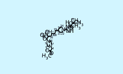 COC(=O)CN1CCN(C2OC(=O)N(C)C2CCCCC2CCN(C(=N)NC(=O)OC(C)(C)C)CC2)CC1